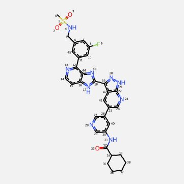 CS(=O)(=O)NCc1cc(F)cc(-c2nccc3[nH]c(-c4n[nH]c5ncc(-c6cncc(NC(=O)C7CCCCC7)c6)cc45)nc23)c1